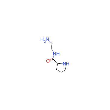 NCCNC(=O)[C@@H]1CCCN1